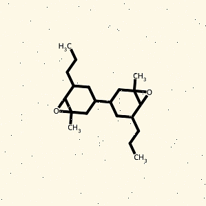 CCCC1CC(C2CC(CCC)C3OC3(C)C2)CC2(C)OC12